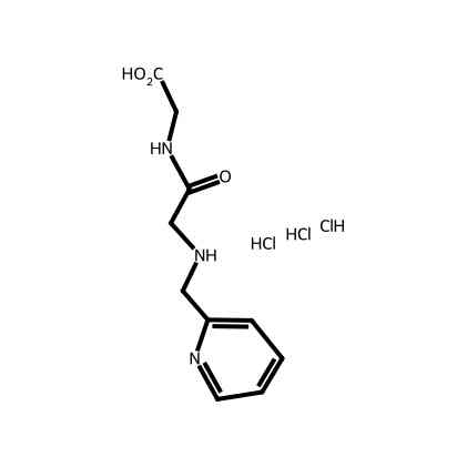 Cl.Cl.Cl.O=C(O)CNC(=O)CNCc1ccccn1